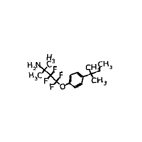 CCC(C)(C)c1ccc(OC(F)(F)C(F)(F)C(C)(C)N)cc1